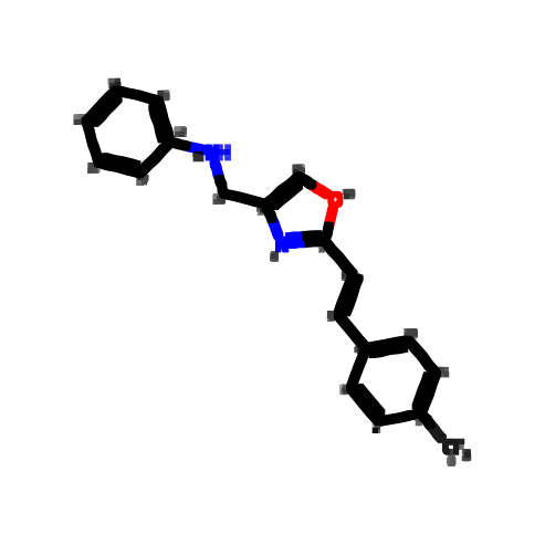 FC(F)(F)c1ccc(/C=C/c2nc(CNc3ccccc3)co2)cc1